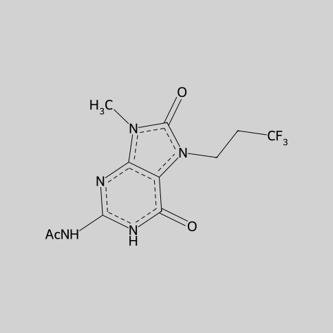 CC(=O)Nc1nc2c(c(=O)[nH]1)n(CCC(F)(F)F)c(=O)n2C